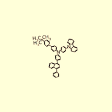 CC(C)(C)c1ccc(-c2ccc(N(c3ccc(-c4ccc(-c5ccccc5)c5ccccc45)cc3)c3ccc(-n4c5ccccc5c5ccccc54)cc3)cc2)cc1